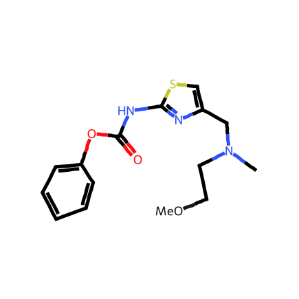 COCCN(C)Cc1csc(NC(=O)Oc2ccccc2)n1